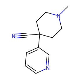 CN1CCC(C#N)(c2cccnc2)CC1